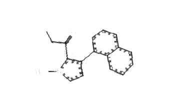 Cn1ccc(-c2cccc3ccccc23)c1C(=O)CCl